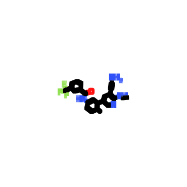 CCNc1ncc(-c2cc(NC(=O)c3cccc(C(F)(F)F)c3)ccc2C)cc1C#CN